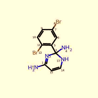 NC1=NC(N)(c2cc(Br)ccc2Br)NC=C1